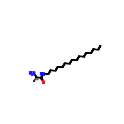 CCCCCCCCCCCCCCCCNC(=O)[C@H](C)N